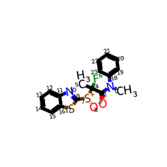 CN(C(=O)C(C)(F)[S+]([O-])c1nc2ccccc2s1)c1ccccc1